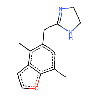 Cc1c(CC2=NCCN2)cc(C)c2occc12